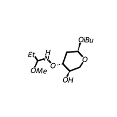 CCC(NO[C@@H]1C[C@@H](OCC(C)C)OC[C@H]1O)OC